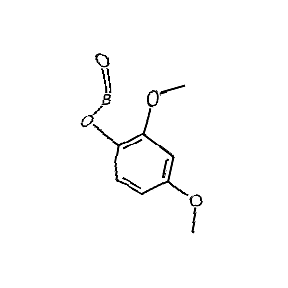 COc1ccc(OB=O)c(OC)c1